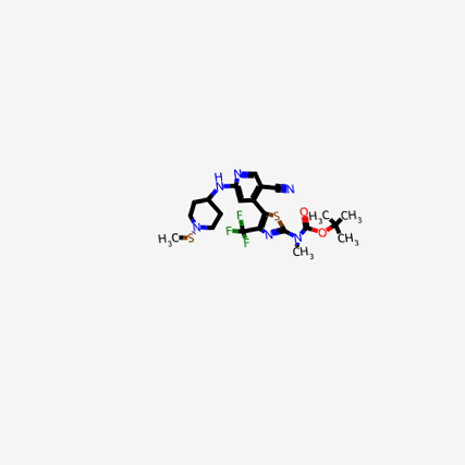 CSN1CCC(Nc2cc(-c3sc(N(C)C(=O)OC(C)(C)C)nc3C(F)(F)F)c(C#N)cn2)CC1